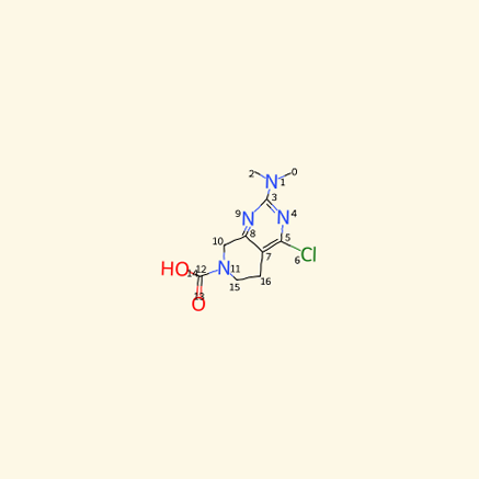 CN(C)c1nc(Cl)c2c(n1)CN(C(=O)O)CC2